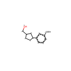 COc1cccc(C2CCC(CO)C2)c1